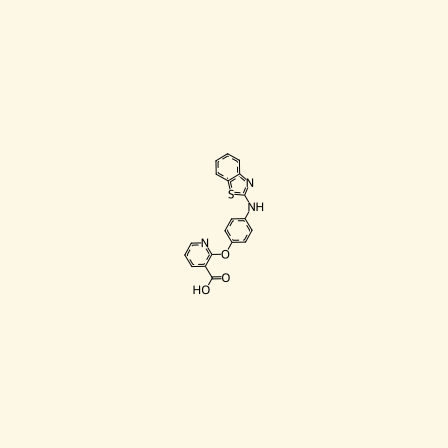 O=C(O)c1cccnc1Oc1ccc(Nc2nc3ccccc3s2)cc1